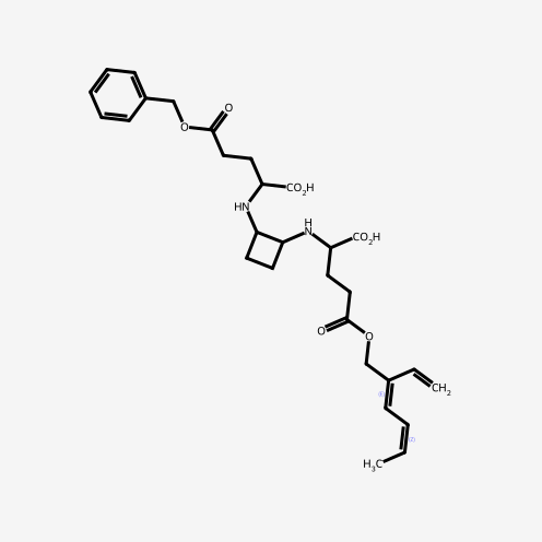 C=C/C(=C\C=C/C)COC(=O)CCC(NC1CCC1NC(CCC(=O)OCc1ccccc1)C(=O)O)C(=O)O